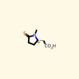 CN1C(=S)CC[C@H]1CC(=O)O